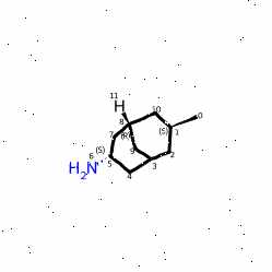 C[C@H]1CC2C[C@H](N)C[C@@H](C2)C1